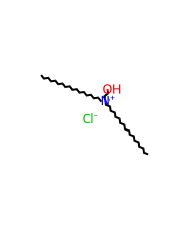 CCCCCCCCC=CCCCCCCCC[N+](C)(CCO)CCCCCCCCCCCCCCCCCC.[Cl-]